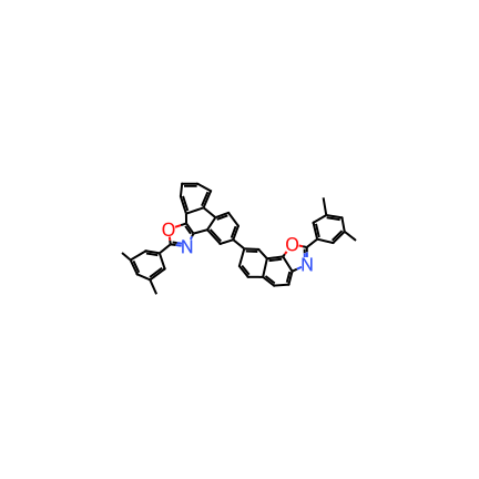 Cc1cc(C)cc(-c2nc3ccc4ccc(-c5ccc6c7ccccc7c7oc(-c8cc(C)cc(C)c8)nc7c6c5)cc4c3o2)c1